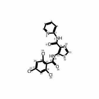 O=C(Nc1ccccn1)c1ncsc1NC(=O)c1c(Cl)cc(Cl)cc1Cl